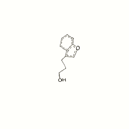 OCCCc1coc2ccccc12